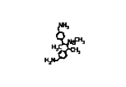 CON=C(C(C)c1ccc(CN)cc1)C(C)c1ccc(CN)cc1